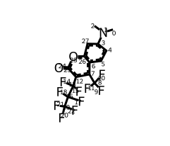 CN(C)c1ccc2c(C(F)(F)F)c(C(F)(F)C(F)(F)C(F)(F)F)c(=O)oc2c1